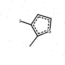 Cc1sccc1I